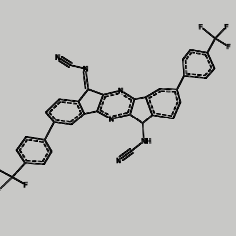 N#C/N=C1\c2ccc(-c3ccc(C(F)(F)F)cc3)cc2-c2nc3c(nc21)-c1cc(-c2ccc(C(F)(F)F)cc2)ccc1C3NC#N